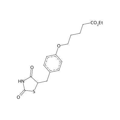 CCOC(=O)CCCCOc1ccc(CC2SC(=O)NC2=O)cc1